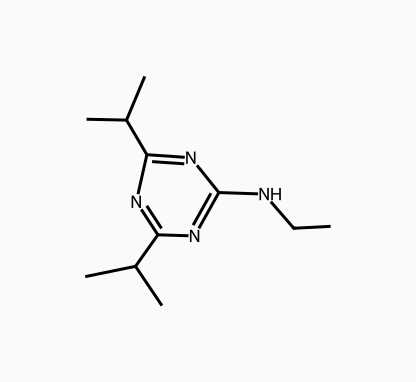 CCNc1nc(C(C)C)nc(C(C)C)n1